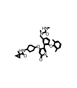 CNC(=O)N(C)Cc1ccc(Oc2c(C)cccc2C)c(-c2cn(C)c(=O)cc2OC2CCC(NC(=O)C3(C)CC3)CC2)c1